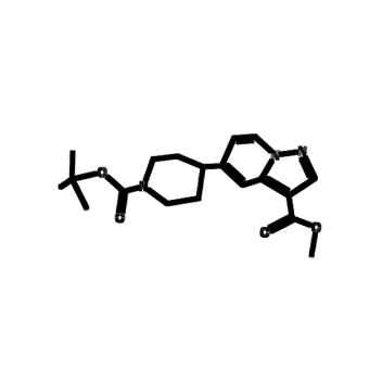 COC(=O)c1cnn2ccc(C3CCN(C(=O)OC(C)(C)C)CC3)cc12